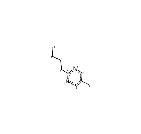 [CH2]CCCc1ncc(C)cn1